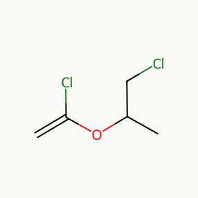 C=C(Cl)OC(C)CCl